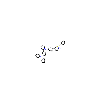 c1ccc(-c2nc3ccc(-c4ccc(-n5c6ccccc6c6cc(N(c7ccccc7)c7ccccc7)ccc65)cc4)cc3s2)cc1